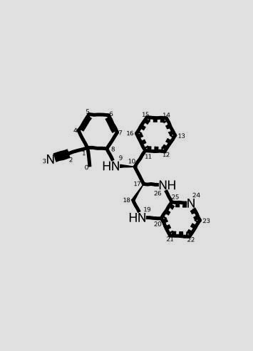 CC1(C#N)C=CC=CC1N[C@@H](c1ccccc1)[C@@H]1CNc2cccnc2N1